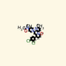 CC(=O)N(C)C1CCN(CCC2[C@H](c3ccc(Cl)c(Cl)c3)CCC(=O)N2c2ccc(C)nc2)CC1